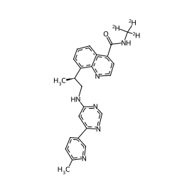 [2H]C([2H])([2H])NC(=O)c1ccnc2c([C@H](C)CNc3cc(-c4ccc(C)nc4)ncn3)cccc12